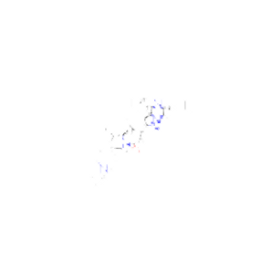 CC1=CC(C2CCN(C3CCC3)CC2)=CN2C(=O)\C=C(c3cc4c(C)nc(C)cn4n3)/C=C/C=C\12